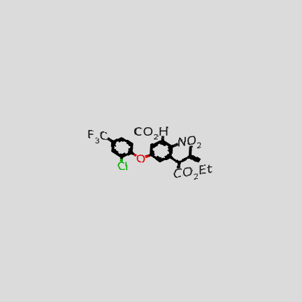 C=C(C)C(C(=O)OCC)c1cc(Oc2ccc(C(F)(F)F)cc2Cl)cc(C(=O)O)c1[N+](=O)[O-]